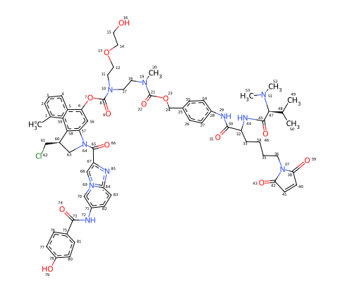 Cc1cccc2c(OC(=O)N(CCOCCO)CCN(C)C(=O)OCc3ccc(NC(=O)C(CCCCN4C(=O)C=CC4=O)NC(=O)[C@H](C(C)C)N(C)C)cc3)cc3c(c12)[C@H](CCl)CN3C(=O)c1cn2cc(NC(=O)c3ccc(O)cc3)ccc2n1